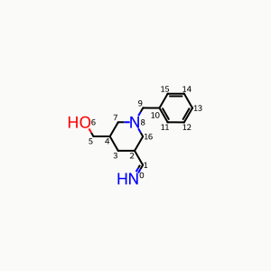 N=CC1CC(CO)CN(Cc2ccccc2)C1